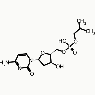 CC(C)COP(=O)(O)OC[C@H]1O[C@@H](n2ccc(N)nc2=O)C[C@@H]1O